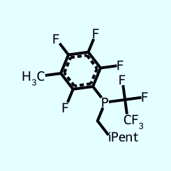 CCCC(C)CP(c1c(F)c(C)c(F)c(F)c1F)C(F)(F)C(F)(F)F